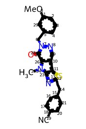 COc1cccc(Cn2ncc3c4sc(Cc5ccc(C#N)cc5)nc4n(C)c3c2=O)c1